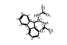 CCC(=O)NB(NC(=O)CC)C1c2ccccc2-c2ccccc21